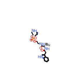 C=CCOP(=O)(OCCN)OCCNC(=O)[C@@H](NC(=O)Cc1c[nH]c2ccccc12)[C@@H](C)CC